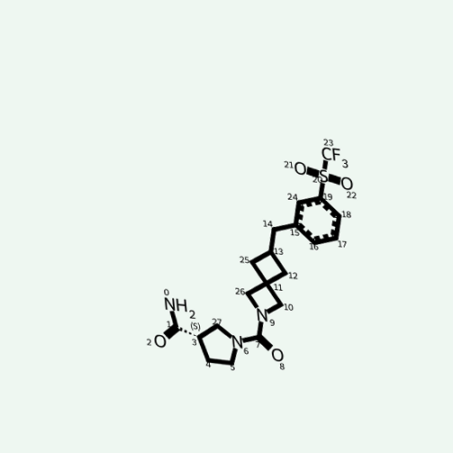 NC(=O)[C@H]1CCN(C(=O)N2CC3(CC(Cc4cccc(S(=O)(=O)C(F)(F)F)c4)C3)C2)C1